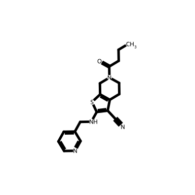 CCCC(=O)N1CCc2c(sc(NCc3cccnc3)c2C#N)C1